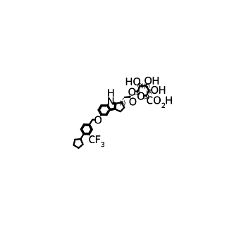 O=C(C[C@@H]1CCc2c1[nH]c1ccc(OCc3ccc(C4CCCC4)c(C(F)(F)F)c3)cc21)O[C@@H]1O[C@H](C(=O)O)[C@@H](O)[C@H](O)[C@H]1O